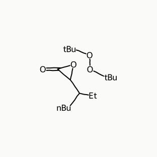 CC(C)(C)OOC(C)(C)C.CCCCC(CC)C1OC1=O